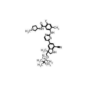 Cc1cc(F)c(C(=O)NC2CCN(C)C2)cc1Nc1nccc(-c2cc(C#N)c3c(c2)[C@@](C)(CO[Si](C)(C)C(C)(C)C)CN3)n1